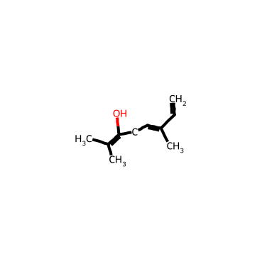 C=CC(C)=CCC(O)=C(C)C